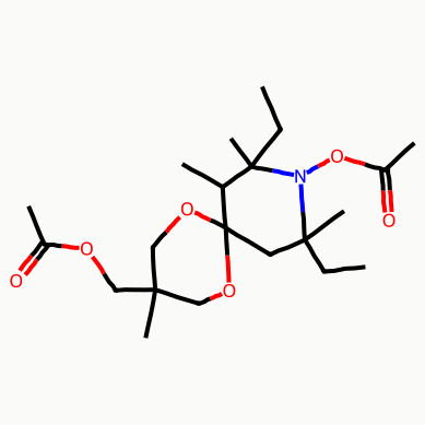 CCC1(C)CC2(OCC(C)(COC(C)=O)CO2)C(C)C(C)(CC)N1OC(C)=O